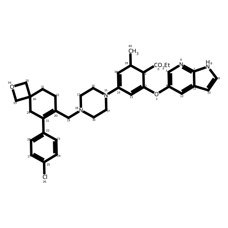 CCOC(=O)C1C(Oc2cnc3[nH]ccc3c2)=CC(N2CCN(CC3=C(c4ccc(Cl)cc4)CC4(CC3)COC4)CC2)=CC1C